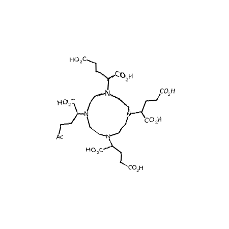 CC(=O)CCC(C(=O)O)N1CCN(C(CCC(=O)O)C(=O)O)CCN(C(CCC(=O)O)C(=O)O)CCN(C(CCC(=O)O)C(=O)O)CC1